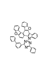 c1ccc(-c2cccc(-c3nc(-c4ccccc4)nc(-n4c5ccccc5c5c6oc7ccccc7c6c6c(ccc7oc8ccccc8c76)c54)n3)c2)cc1